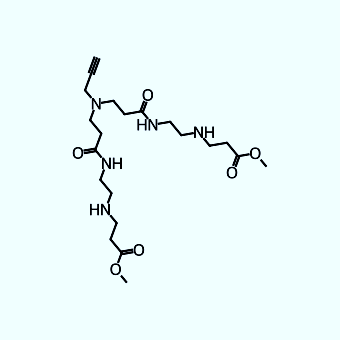 C#CCN(CCC(=O)NCCNCCC(=O)OC)CCC(=O)NCCNCCC(=O)OC